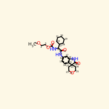 COCCOC(=O)NC(C(=O)Nc1ccc2c(c1)NC(=O)C21CCOCC1)C1CCCCC1